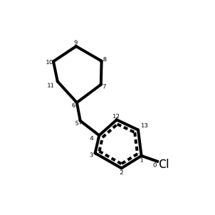 Clc1ccc([CH]C2CCCCC2)cc1